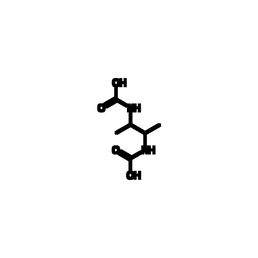 CC(NC(=O)O)C(C)NC(=O)O